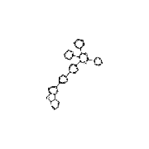 C1=CC2Oc3ccc(-c4ccc(-c5ccc(-c6nc(-c7ccccc7)nc(-c7ccccc7)c6-c6ccccc6)cc5)cc4)cc3C2C=C1